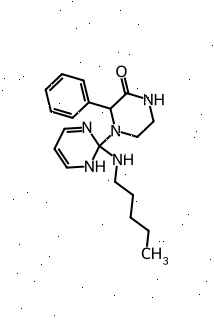 CCCCCNC1(N2CCNC(=O)C2c2ccccc2)N=CC=CN1